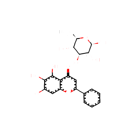 O=C(O)[C@H]1O[C@@H](O)[C@H](O)[C@@H](O)[C@@H]1O.O=c1cc(-c2ccccc2)oc2cc(O)c(O)c(O)c12